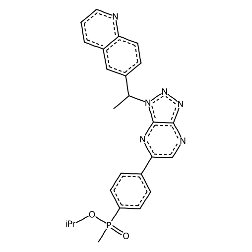 CC(C)OP(C)(=O)c1ccc(-c2cnc3nnn(C(C)c4ccc5ncccc5c4)c3n2)cc1